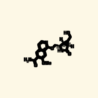 COc1cc2c(OC[C@H]3NC(=O)[C@@H]4C(CO)[C@@H]43)nccc2cc1C(N)=O